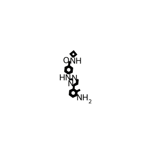 Cc1c(N)cccc1-c1ccnc(Nc2ccc(C(=O)NC3CCC3)cc2)n1